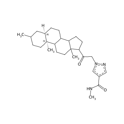 CNC(=O)c1cnn(CC(=O)C2CCC3C4CC[C@@H]5CC(C)CC[C@]5(C)C4CCC23C)c1